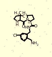 CC1(C)CCNC1C(=O)N1CCC[C@H]1C(=O)NCc1cc(Cl)ccc1CN